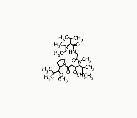 CCC(C)C(C(CC(=O)N1CCCC1C(OC)C(C)C)OC)N(C)C(=O)CNC(=O)C(C(C)C)N(C)CC